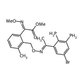 CO/N=C(/C(=O)OC)c1cccc(C)c1CO/N=C(\C)c1cc(Br)cc(P)c1P